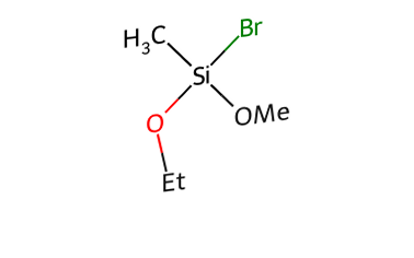 CCO[Si](C)(Br)OC